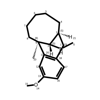 CN[C@H]1[C@H]2CCCCC[C@]1(C)c1cc(OC)ccc1C2